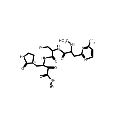 CC(C)CC(NC(=O)C(Cc1nccc(C(F)(F)F)n1)NC(=O)O)C(=O)NC(C[C@@H]1CCNC1=O)C(=O)C(=O)NC(C)C